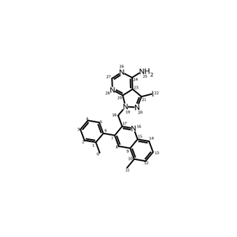 Cc1ccccc1-c1cc2c(C)cccc2nc1Cn1nc(I)c2c(N)ncnc21